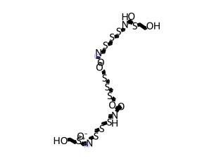 O=C(NCSCSCSC/N=C\[S+]([O-])CCO)OCSCSCSCOO/C=N\CSCSCSCNC(=O)SCCO